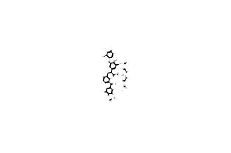 CC(C)(C)OC(=O)CNCC(=O)OC(C)(C)C.COC(=O)C(Cc1cccc(C(=O)c2cc(C)c(OC(C)=O)c(C)c2)c1)c1cc(I)c(Oc2cc(I)c(O)c(I)c2)c(I)c1